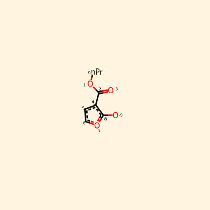 CCCOC(=O)c1ccoc1[O]